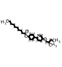 CCCCCCCCCC(=O)Oc1ccc(-c2ccc(OCC(C)CC)cn2)cc1